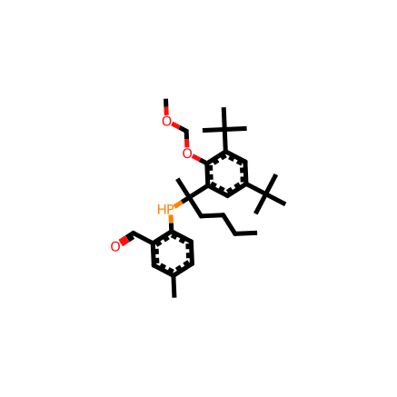 CCCCC(C)(Pc1ccc(C)cc1C=O)c1cc(C(C)(C)C)cc(C(C)(C)C)c1OCOC